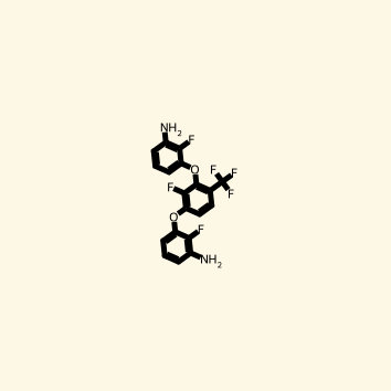 Nc1cccc(Oc2ccc(C(F)(F)F)c(Oc3cccc(N)c3F)c2F)c1F